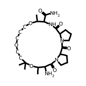 CC1OC(C)(C)CCOCCCOC(C)C(C(N)=O)NC(=O)C2CCCN2C(=O)C2CCCN2C(=O)C1N